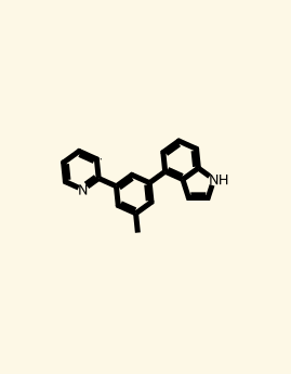 Cc1cc(-c2[c]cccn2)cc(-c2cccc3[nH]ccc23)c1